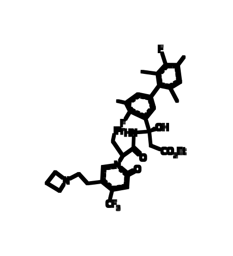 CCOC(=O)C[C@](O)(NC(=O)C(CC(C)C)n1cc(CCN2CCC2)c(C(F)(F)F)cc1=O)c1cc(-c2c(C)cc(C)c(F)c2C)cc(C)c1F